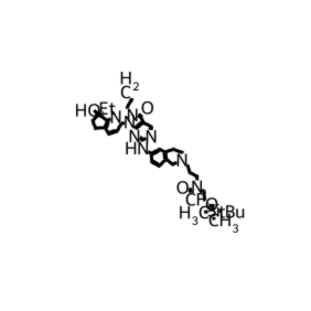 C=CCn1c(=O)c2cnc(Nc3ccc4c(c3)CCN(CCCN(CCO[Si](C)(C)C(C)(C)C)C(=O)C(F)(F)F)C4)nc2n1-c1ccc2c(n1)[C@@](O)(CC)CC2